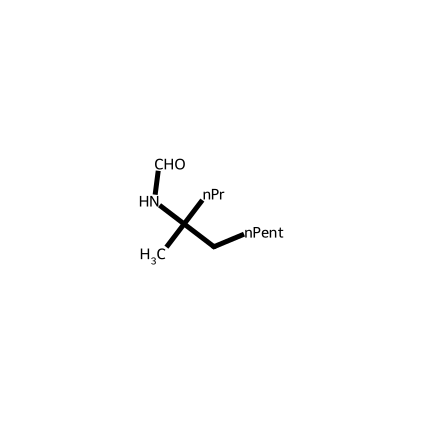 CCCCCCC(C)(CCC)NC=O